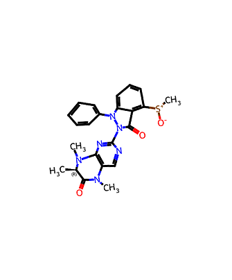 C[C@@H]1C(=O)N(C)c2cnc(-n3c(=O)c4c([S+](C)[O-])cccc4n3-c3ccccc3)nc2N1C